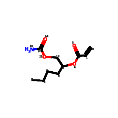 C=CC(=O)OC(CCCC)COC(N)=O